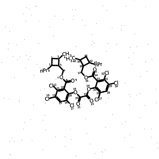 CCCC1CC(C)C1COC(=O)c1c(Cl)c(Cl)cc(Cl)c1OC(=O)C(=O)Oc1c(Cl)cc(Cl)c(Cl)c1C(=O)OCC1C(C)CC1CCC